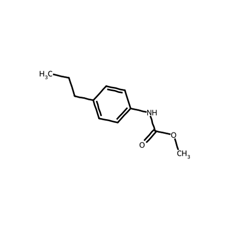 CCCc1ccc(NC(=O)OC)cc1